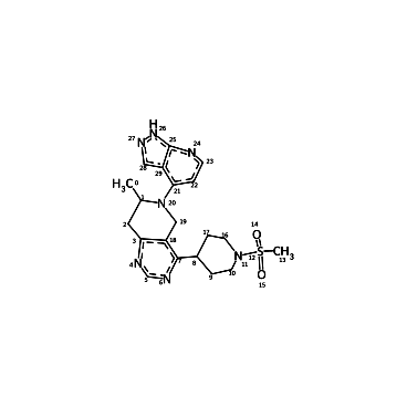 CC1Cc2ncnc(C3CCN(S(C)(=O)=O)CC3)c2CN1c1ccnc2[nH]ncc12